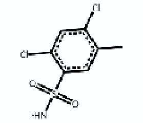 Cc1cc(S([NH])(=O)=O)c(Cl)cc1Cl